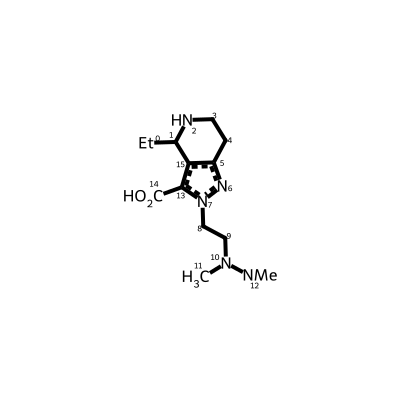 CCC1NCCc2nn(CCN(C)NC)c(C(=O)O)c21